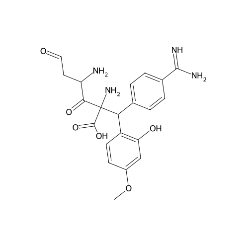 COc1ccc(C(c2ccc(C(=N)N)cc2)C(N)(C(=O)O)C(=O)C(N)CC=O)c(O)c1